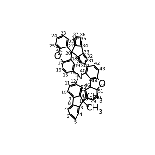 CC1(C)c2ccccc2-c2ccc(N(c3ccc4c(c3)C3(c5ccccc5O4)c4ccccc4-c4ccccc43)c3cccc4c3C3C=CC=CC3O4)cc21